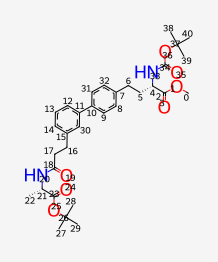 COC(=O)[C@H](CCc1ccc(-c2cccc(CCC(=O)N[C@@H](C)C(=O)OC(C)(C)C)c2)cc1)NC(=O)OC(C)(C)C